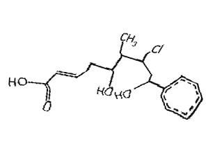 CC(C(O)CC=CC(=O)O)C(Cl)C(O)c1ccccc1